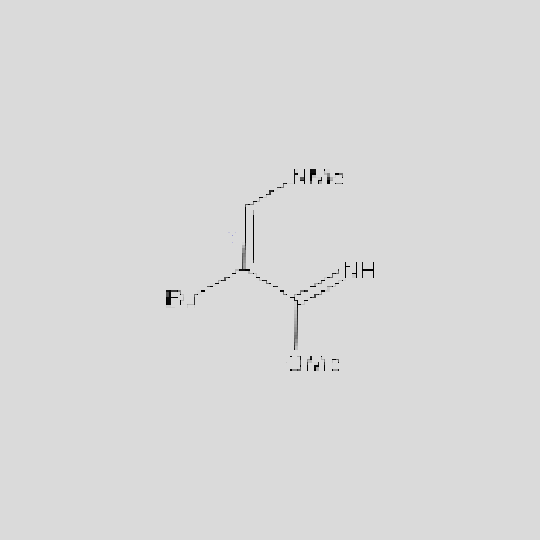 CCC(C)/C(=C/NC)C(=N)OC